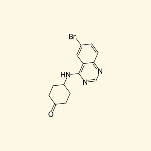 O=C1CCC(Nc2ncnc3ccc(Br)cc23)CC1